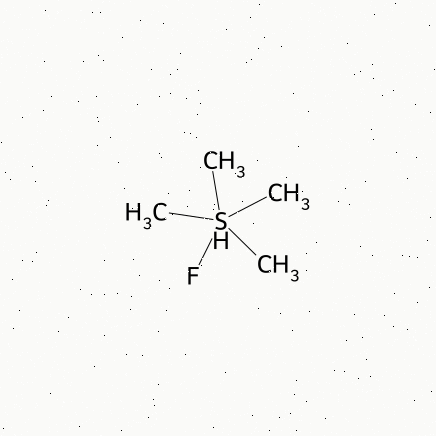 C[SH](C)(C)(C)F